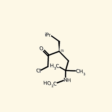 CC(C)C[C@@H](CC(C)(C)NC(=O)O)C(=O)CCl